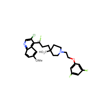 COc1ccc2ncc(Cl)c([C@@H](F)CCC3(C(=O)O)CCN(CCOc4cc(F)cc(F)c4)CC3)c2c1